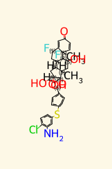 C[C@]12C=CC(=O)C=C1[C@@H](F)C[C@H]1[C@@H]3C[C@H]4O[C@H](c5ccc(Sc6ccc(Cl)c(N)c6)cc5)O[C@@]4(C(O)CO)[C@@]3(C)C[C@H](O)[C@@]12F